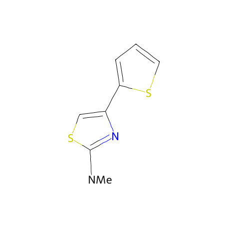 CNc1nc(-c2cccs2)cs1